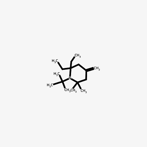 C=C1CC(C)(C)N(C(C)(C)C)C(CC)(CC)C1